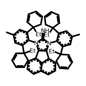 CCC1(c2cc(C)cc(C3(CC)C=CC=CC3)c2-n2c3c(n(-c4c(C5(CC)C=CC=CC5)cc(C)cc4C4(CC)C=CC=CC4)c2=N)-c2cccc4cccc-3c24)C=CC=CC1